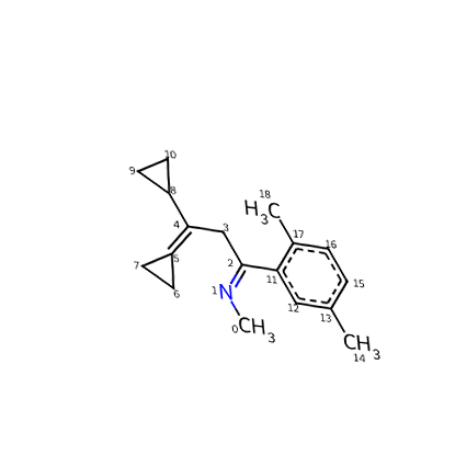 C/N=C(/CC(=C1CC1)C1CC1)c1cc(C)ccc1C